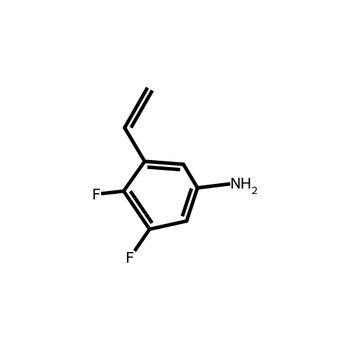 C=Cc1cc(N)cc(F)c1F